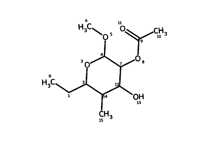 CCC1OC(OC)C(OC(C)=O)C(O)C1C